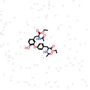 CCOC(=O)C(Cc1ccc(Oc2cc(CC(NC(C)=O)C(=O)OCC)ccc2O)cc1)NC(C)=O